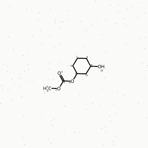 COC(=O)OC1CCCC(O)C1